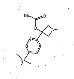 CC(C)(C)C(=O)OC1(c2ccc([Si](C)(C)C)cc2)CNC1